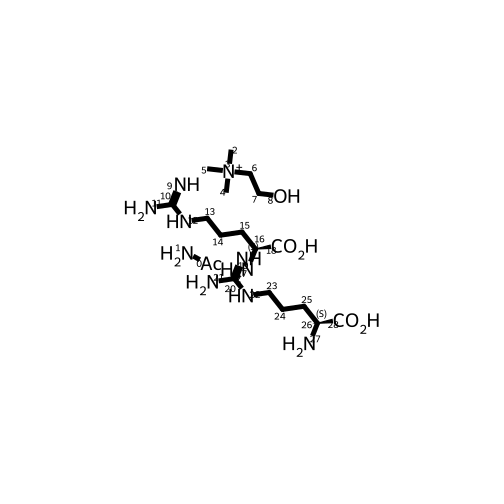 CC(N)=O.C[N+](C)(C)CCO.N=C(N)NCCC[C@H](N)C(=O)O.N=C(N)NCCC[C@H](N)C(=O)O